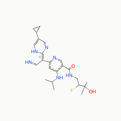 CC(C)Nc1cc(/C(C=N)=C2\N=CC(C3CC3)=CN2)ncc1C(=O)NCC(F)C(C)(C)O